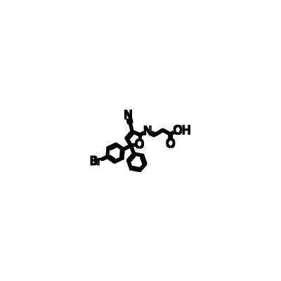 N#CC1=CC(c2ccccc2)(c2ccc(Br)cc2)OC1N=CCC(=O)O